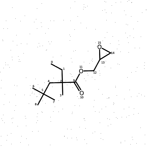 CCC(C)(CC(C)(C)C)C(=O)OCC1CO1